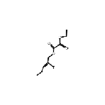 CC/C=C(\F)COC(=O)C(=O)OCC